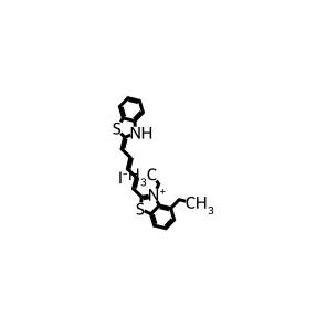 CCc1cccc2sc(C=CC=CC=C3Nc4ccccc4S3)[n+](CC)c12.[I-]